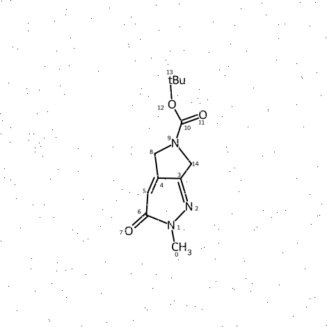 Cn1nc2c(cc1=O)CN(C(=O)OC(C)(C)C)C2